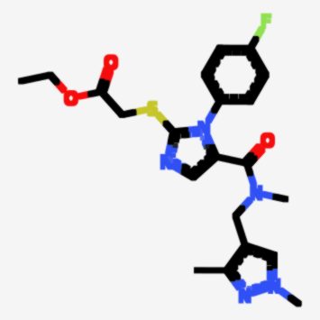 CCOC(=O)CSc1ncc(C(=O)N(C)Cc2cn(C)nc2C)n1-c1ccc(F)cc1